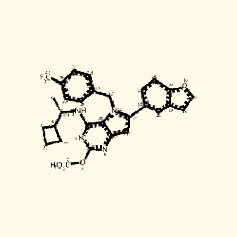 C[C@@H](Nc1nc(OC(=O)O)nc2cc(-c3ccc4occc4c3)n(Cc3ccc(C(F)(F)F)cc3)c12)C1CCC1